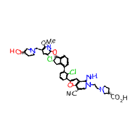 COc1nc(O[C@H]2CCc3c(-c4cccc(-c5cc6c(=N)n(CCN7CC[C@@H](C(=O)O)C7)cc(C#N)c6o5)c4Cl)cccc32)c(Cl)cc1CN1CC[C@@H](O)C1